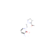 CCC(=O)C1CCCN1CCn1cccc(N)c1=O